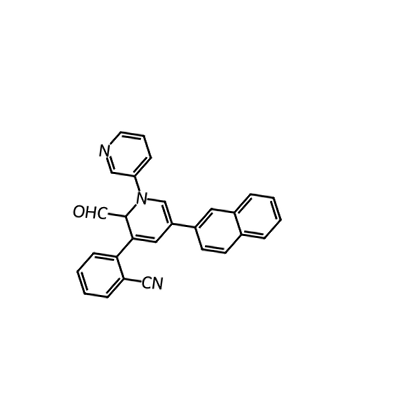 N#Cc1ccccc1C1=CC(c2ccc3ccccc3c2)=CN(c2cccnc2)C1C=O